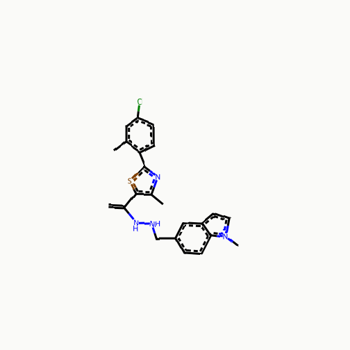 C=C(NNCc1ccc2c(ccn2C)c1)c1sc(-c2ccc(Cl)cc2C)nc1C